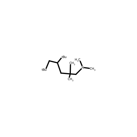 CN(C)CC(C)(C)CC(CC(C)(C)C)C(C)(C)C